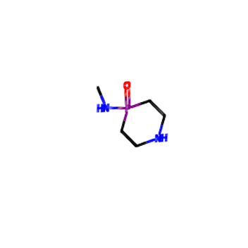 CNP1(=O)CCNCC1